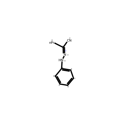 CCC/C(C#N)=N\Nc1ccccc1